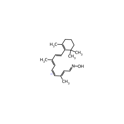 CC(C=CC1=C(C)CCCC1(C)C)=C/C=C\C(C)=CC=NO